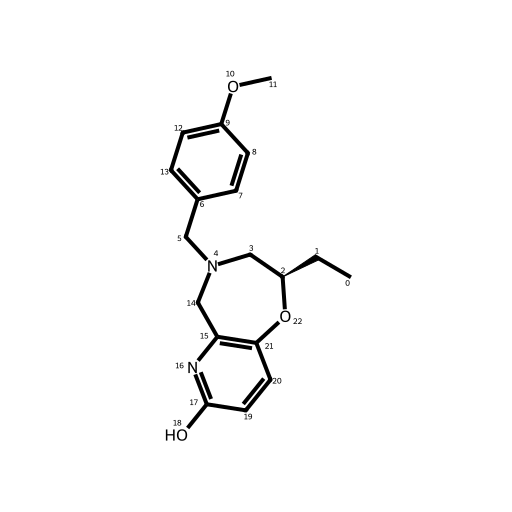 CC[C@@H]1CN(Cc2ccc(OC)cc2)Cc2nc(O)ccc2O1